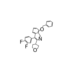 Fc1ccc(-c2c(C3CCOCC3)ncc3c(OCc4ccccc4)cccc23)cc1F